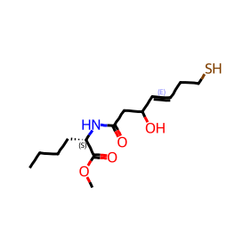 CCCC[C@H](NC(=O)CC(O)/C=C/CCS)C(=O)OC